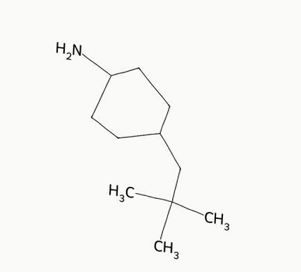 CC(C)(C)CC1CCC(N)CC1